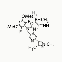 CB/C=C(/CN1C(=O)N(c2c(F)c(OC)cc(OC)c2F)Cc2cnc(-c3cn(C)nc3C)cc21)C(C)=N